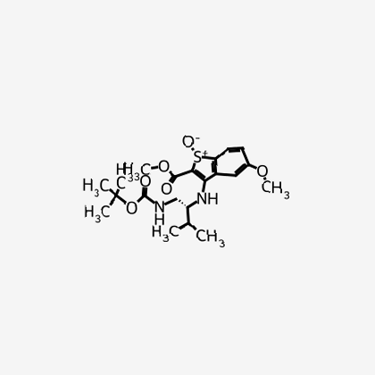 COC(=O)c1c(N[C@@H](CNC(=O)OC(C)(C)C)C(C)C)c2cc(OC)ccc2[s+]1[O-]